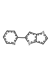 c1ccc(-c2cc3sccc3s2)nc1